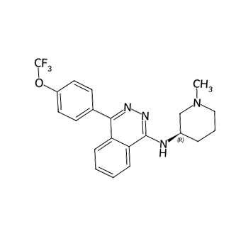 CN1CCC[C@@H](Nc2nnc(-c3ccc(OC(F)(F)F)cc3)c3ccccc23)C1